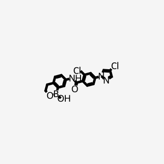 O=C(Nc1ccc2c(c1)B(O)OCC2)c1ccc(-n2cc(Cl)cn2)cc1Cl